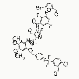 COc1cc(C=O)c(OCc2ccccc2)cc1OC.Cc1nc[nH]c1C=O.O=Cc1c(F)c(F)cc(F)c1F.O=Cc1cc(C(F)(F)F)ccc1Cl.O=Cc1ccc(Br)o1